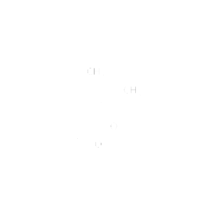 CC1(C)CCOO1